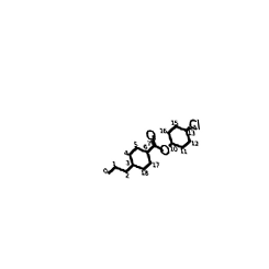 CCCC1CCC(C(=O)OC2CCC(Cl)CC2)CC1